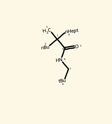 CCCCCCCC(C)(CCCC)C(=O)NCC(C)(C)C